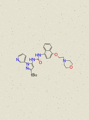 CC(C)(C)c1cc(NC(=O)Nc2ccc(OCCN3CCOCC3)c3ccccc23)n(-c2cccnc2)n1